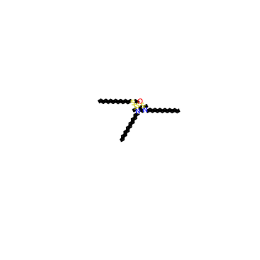 CCCCCCCCCCCCCCSCC(=O)SCC(CN(CCCCCCCCCCCCCC)C(C)=S)N(CCCCCCCCCCCCCC)C(C)=S